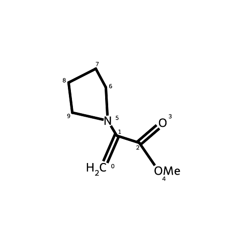 C=C(C(=O)OC)N1CCCC1